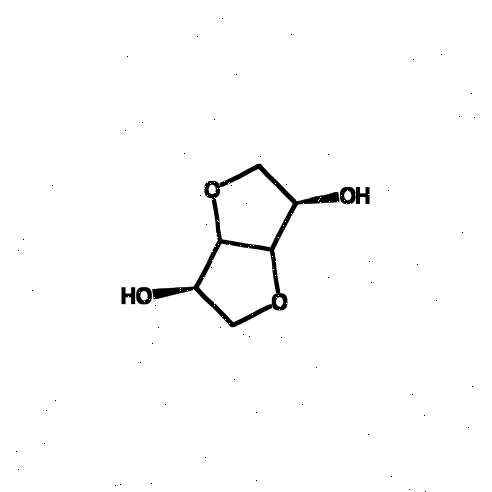 O[C@@H]1COC2C1OC[C@H]2O